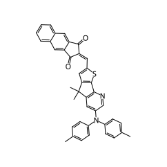 Cc1ccc(N(c2ccc(C)cc2)c2cnc3c(c2)C(C)(C)c2cc(C=C4C(=O)c5cc6ccccc6cc5C4=O)sc2-3)cc1